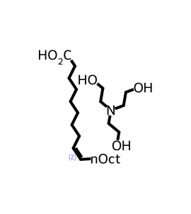 CCCCCCCC/C=C\CCCCCCCC(=O)O.OCCN(CCO)CCO